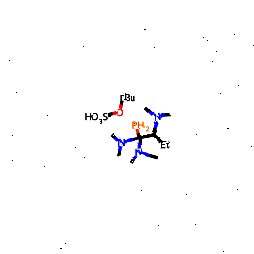 CCC(N(C)C)C(P)(N(C)C)N(C)C.CCCCOS(=O)(=O)O